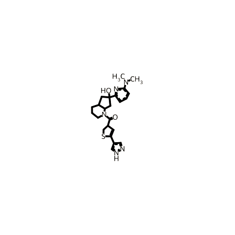 CN(C)c1cccc(C2(O)CC3CCCN(C(=O)C4C=C(c5cn[nH]c5)SC4)C3C2)n1